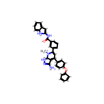 CN1C(c2cccc(C(=O)Nc3cc4ccccc4[nH]3)c2)=CC(c2ccc(Oc3ccccc3)cc2)=C2C(N)=NNC21